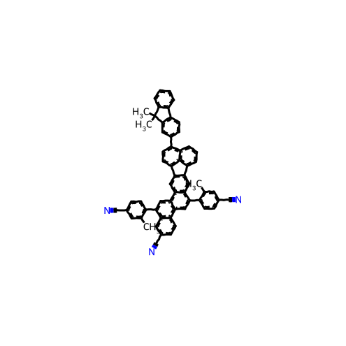 Cc1cc(C#N)ccc1-c1cc2c3cc4c(cc3c(-c3ccc(C#N)cc3C)cc2c2ccc(C#N)cc12)-c1cccc2c(-c3ccc5c(c3)C(C)(C)c3ccccc3-5)ccc-4c12